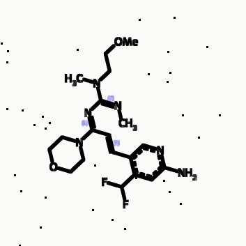 C\N=C(/N=C(\C=C\c1cnc(N)cc1C(F)F)N1CCOCC1)N(C)CCOC